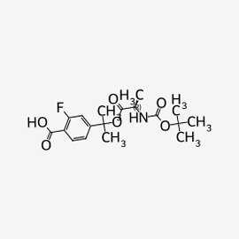 C[C@@H](NC(=O)OC(C)(C)C)C(=O)OC(C)(C)c1ccc(C(=O)O)c(F)c1